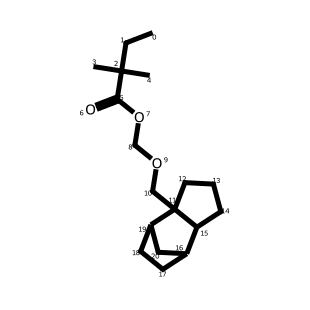 CCC(C)(C)C(=O)OCOCC12CCCC1C1CCC2C1